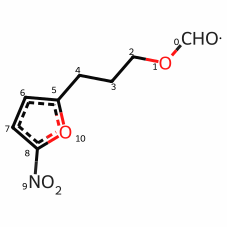 O=[C]OCCCc1ccc([N+](=O)[O-])o1